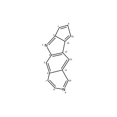 C1=CC2=Nc3cc4ccncc4cc3C2=C1